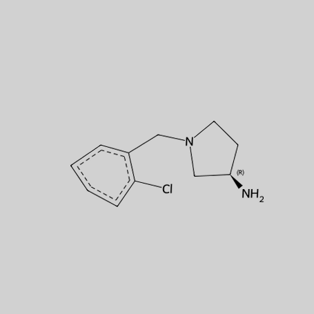 N[C@@H]1CCN(Cc2ccccc2Cl)C1